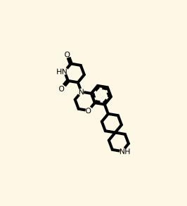 O=C1CCC(N2CCOc3c(C4CCC5(CCNCC5)CC4)cccc32)C(=O)N1